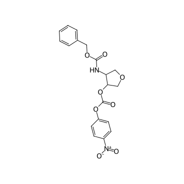 O=C(NC1COCC1OC(=O)Oc1ccc([N+](=O)[O-])cc1)OCc1ccccc1